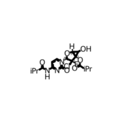 CC(C)C(=O)Nc1ccn([C@@H]2O[C@@H]3C(O)[C@]3(OC(=O)C(C)C)[C@]2(F)Cl)c(=O)n1